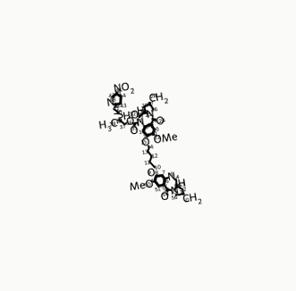 C=C1C[C@H]2C=Nc3cc(OCCCCCOc4cc5c(cc4OC)C(=O)N4CC(=C)C[C@H]4[C@H](O)N5C(=O)OC[C@H](C)SSc4ccc([N+](=O)[O-])cn4)c(OC)cc3C(=O)N2C1